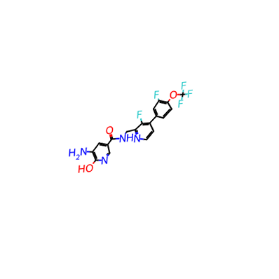 Nc1cc(C(=O)NCc2nccc(-c3ccc(OC(F)(F)F)c(F)c3)c2F)cnc1O